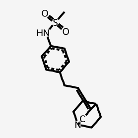 CS(=O)(=O)Nc1ccc(C/C=C2\CN3CCC2CC3)cc1